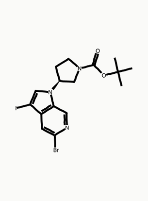 CC(C)(C)OC(=O)N1CC[C@H](n2cc(I)c3cc(Br)ncc32)C1